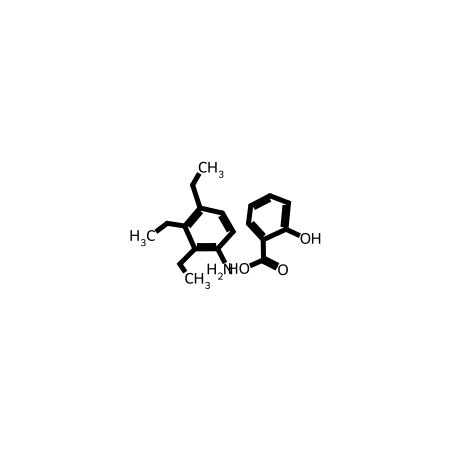 CCc1ccc(N)c(CC)c1CC.O=C(O)c1ccccc1O